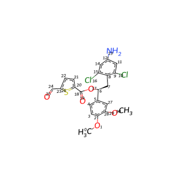 COc1ccc([C@H](Cc2c(Cl)cc(N)cc2Cl)OC(=O)c2ccc(C=O)s2)cc1OC